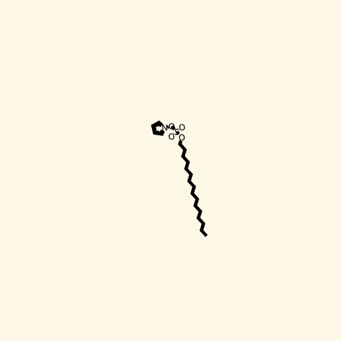 CCCCCCCCCCCCCCCCOS(=O)(=O)On1cccc1